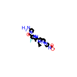 COC(=O)N(C)C1CCN(c2ccc3cc(-c4nn5cc(C(=O)N6CCC[C@@H](N)C6)cc(F)c5c4C)n(CC4CC4)c3n2)CC1